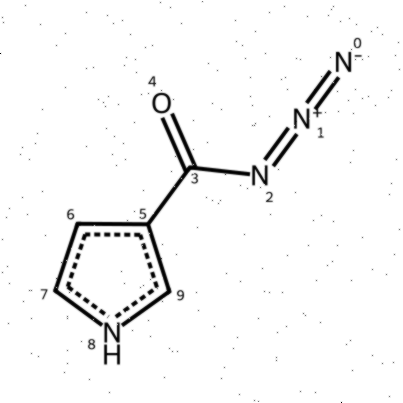 [N-]=[N+]=NC(=O)c1cc[nH]c1